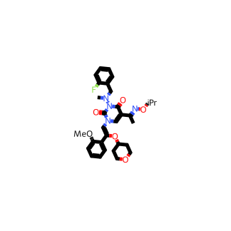 COc1ccccc1/C(=C/n1cc(/C(C)=N/OC(C)C)c(=O)n(N(C)Cc2ccccc2F)c1=O)OC1CCOCC1